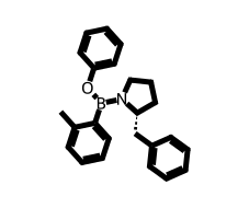 Cc1ccccc1B(Oc1ccccc1)N1CCC[C@@H]1Cc1ccccc1